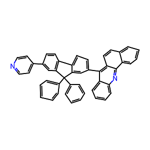 c1ccc(C2(c3ccccc3)c3cc(-c4ccncc4)ccc3-c3ccc(-c4c5ccccc5nc5c4ccc4ccccc45)cc32)cc1